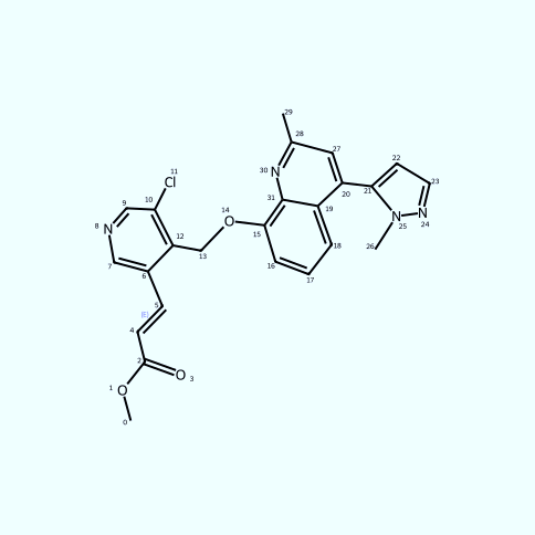 COC(=O)/C=C/c1cncc(Cl)c1COc1cccc2c(-c3ccnn3C)cc(C)nc12